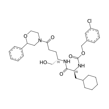 O=C(N[C@@H](CC1CCCCC1)C(=O)N[C@H](CO)CCC(=O)N1CCOC(c2ccccc2)C1)OCc1cccc(Cl)c1